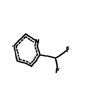 FC(F)c1cc[c]cn1